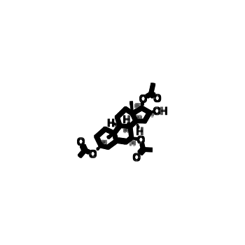 CC(=O)O[C@@H]1CC[C@@]2(C)C(=C[C@H](OC(C)=O)[C@H]3[C@@H]4C[C@@H](O)[C@H](OC(C)=O)[C@@]4(C)CC[C@@H]32)C1